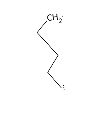 [C]CCC[CH2]